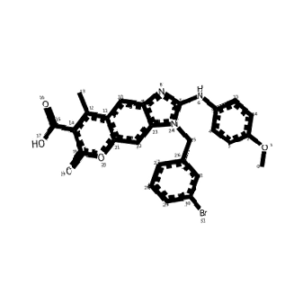 COc1ccc(Nc2nc3cc4c(C)c(C(=O)O)c(=O)oc4cc3n2Cc2cccc(Br)c2)cc1